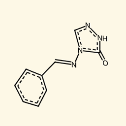 O=c1[nH]ncn1N=Cc1ccccc1